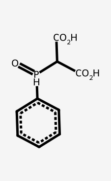 O=C(O)C(C(=O)O)[PH](=O)c1ccccc1